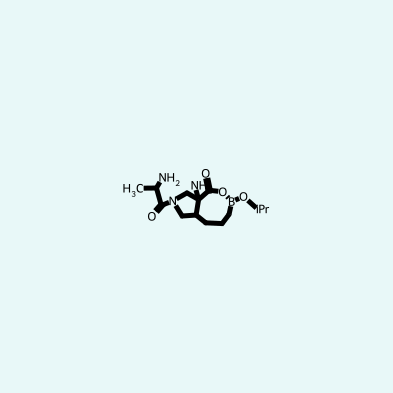 CC(C)OB1CCCC2CN(C(=O)C(C)N)CC2(N)C(=O)O1